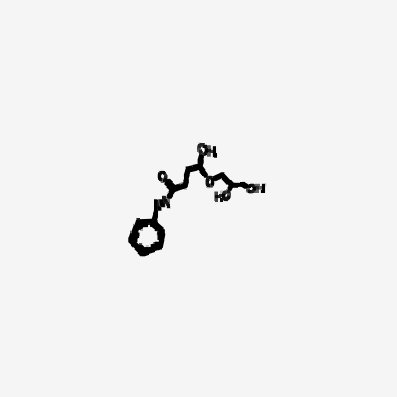 O=C(CCC(O)OCC(O)CO)/N=N/c1ccccc1